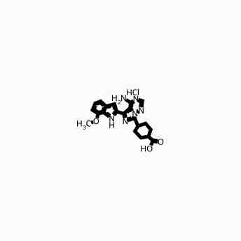 COc1cccc2cc(-c3nc(C4CCC(C(=O)O)CC4)n4ncnc(N)c34)[nH]c12.Cl